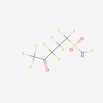 O=C(C(F)(F)F)C(F)(F)C(F)(F)C(F)(F)S(=O)(=O)NF